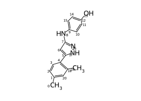 Cc1ccc(-c2cc(Nc3ccc(O)cc3)n[nH]2)c(C)c1